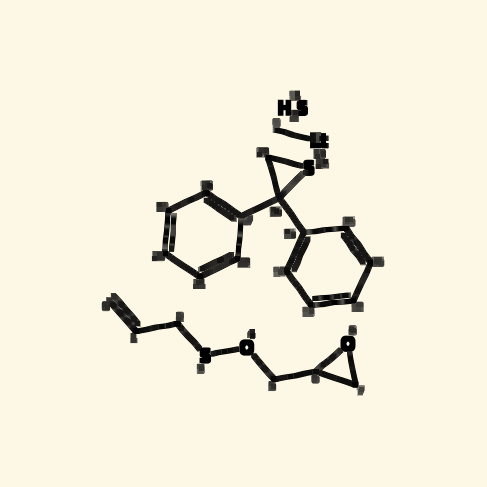 C=CCSOCC1CO1.CCC.S.c1ccc(C2(c3ccccc3)CS2)cc1